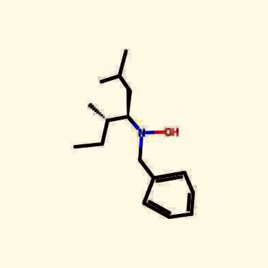 CC[C@H](C)[C@@H](CC(C)C)N(O)Cc1ccccc1